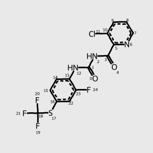 O=C(NC(=O)c1ncccc1Cl)Nc1ccc(SC(F)(F)F)cc1F